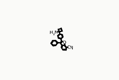 N#Cc1cccc2c(-c3ccccc3)c(-c3ccc(C4(N)CCC4)cc3)oc12